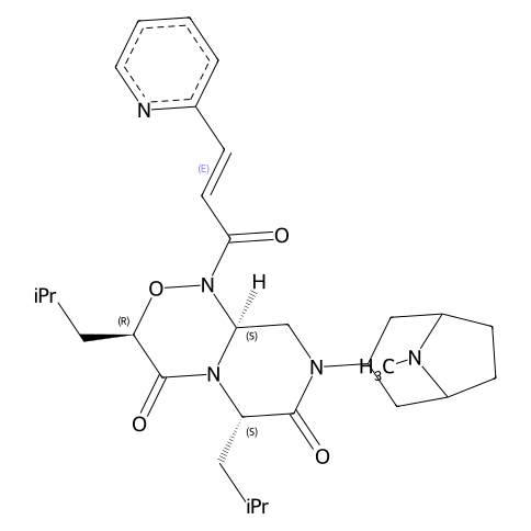 CC(C)C[C@H]1ON(C(=O)/C=C/c2ccccn2)[C@H]2CN(C3CC4CCC(C3)N4C)C(=O)[C@H](CC(C)C)N2C1=O